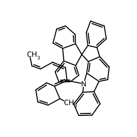 C\C=C/C=C\C(=C1/C=CC=CC1C)n1c2ccccc2c2ccc3c(c21)C1(c2ccccc2-c2ccccc21)c1ccccc1-3